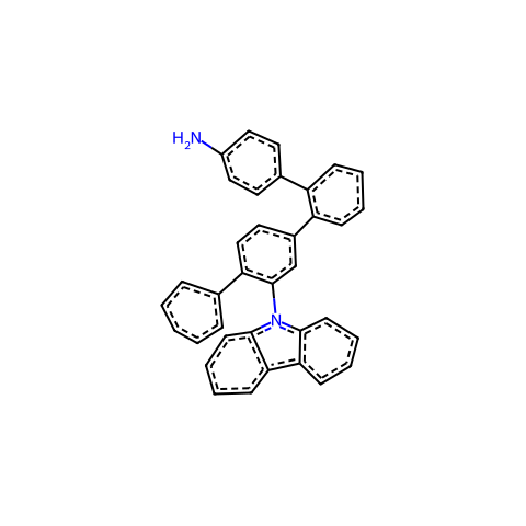 Nc1ccc(-c2ccccc2-c2ccc(-c3ccccc3)c(-n3c4ccccc4c4ccccc43)c2)cc1